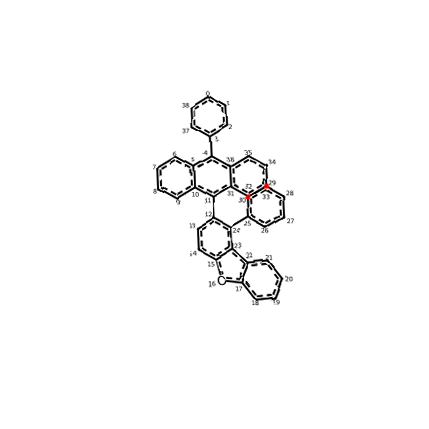 c1ccc(-c2c3ccccc3c(-c3ccc4oc5ccccc5c4c3-c3ccccc3)c3ccccc23)cc1